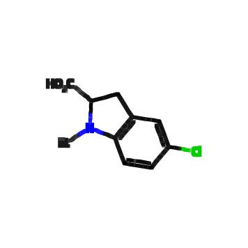 CCN1c2ccc(Cl)cc2CC1C(=O)O